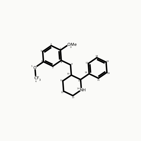 COc1ccc(OC(F)(F)F)cc1CC1CCCNC1c1ccccc1